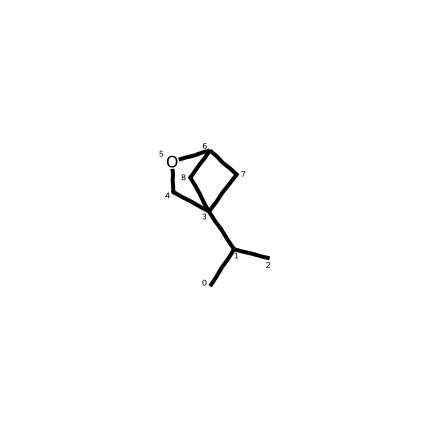 CC(C)C12COC(C1)C2